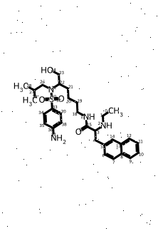 CCNC(Cc1ccc2ccccc2c1)C(=O)NCCCCC(CO)N(CC(C)C)S(=O)(=O)c1ccc(N)cc1